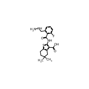 CC1(C)CCc2sc(NC(=O)c3c(F)cccc3CNN)c(C(=O)O)c2C1